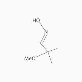 COC(C)(C)C=NO